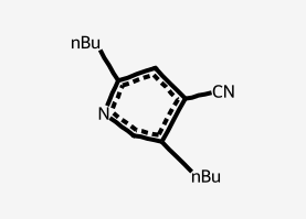 CCCCc1cc(C#N)c(CCCC)cn1